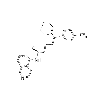 O=C(/C=C/C=C(\C1=CCCCC1)c1ccc(C(F)(F)F)cc1)Nc1cccc2cnccc12